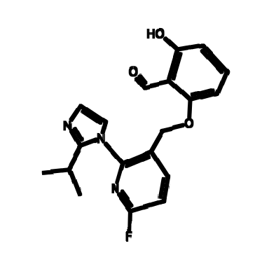 CC(C)c1nccn1-c1nc(F)ccc1COc1cccc(O)c1C=O